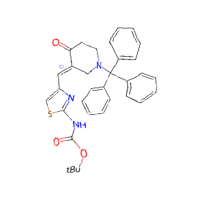 CC(C)(C)OC(=O)Nc1nc(/C=C2\CN(C(c3ccccc3)(c3ccccc3)c3ccccc3)CCC2=O)cs1